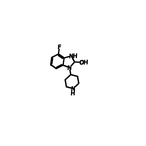 OC1Nc2c(F)cccc2N1C1CCNCC1